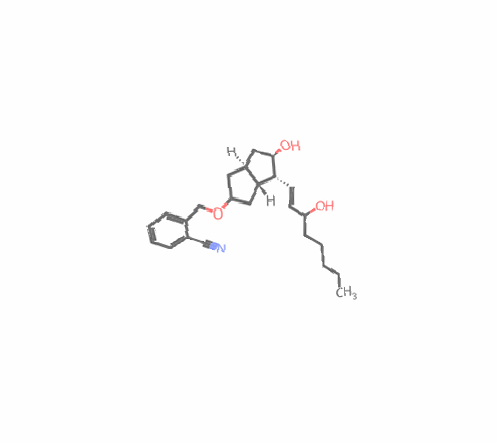 CCCCCC(O)C=C[C@@H]1[C@@H]2CC(OCc3ccccc3C#N)C[C@H]2C[C@H]1O